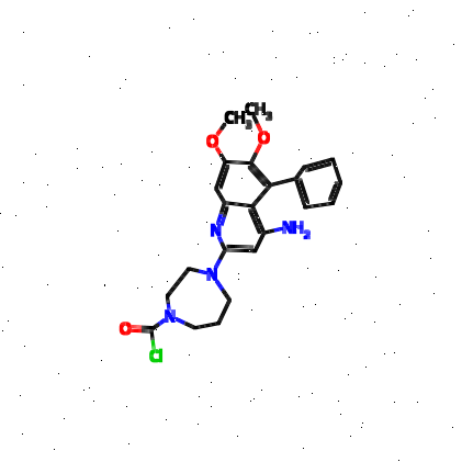 COc1cc2nc(N3CCCN(C(=O)Cl)CC3)cc(N)c2c(-c2ccccc2)c1OC